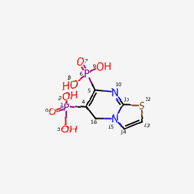 O=P(O)(O)C1=C(P(=O)(O)O)N=C2SC=CN2C1